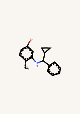 O=[N+]([O-])c1ccc(Br)cc1NC(c1ccccc1)C1CC1